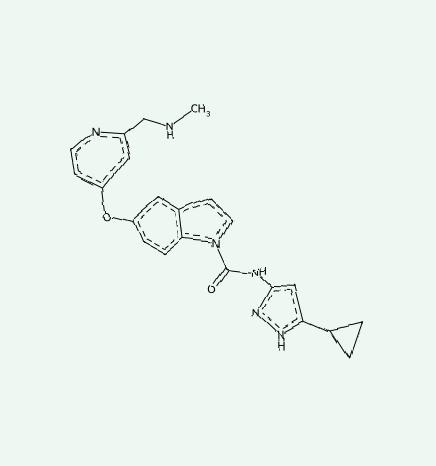 CNCc1cc(Oc2ccc3c(ccn3C(=O)Nc3cc(C4CC4)[nH]n3)c2)ccn1